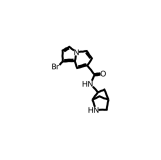 O=C(NC1CC2CNC1C2)c1ccn2ccc(Br)c2c1